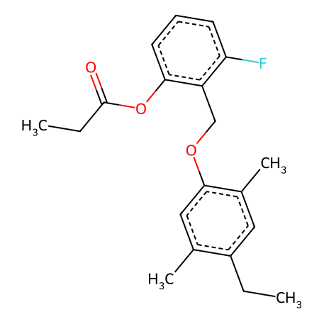 CCC(=O)Oc1cccc(F)c1COc1cc(C)c(CC)cc1C